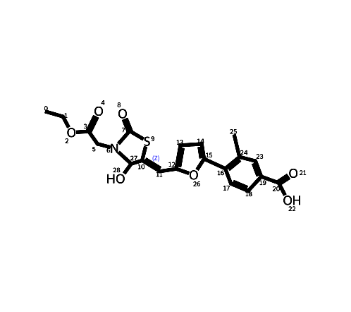 CCOC(=O)CN1C(=O)S/C(=C\c2ccc(-c3ccc(C(=O)O)cc3C)o2)C1O